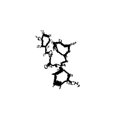 Cc1cccc(N(Cc2ccccn2)C(=O)OCc2ccccc2)c1